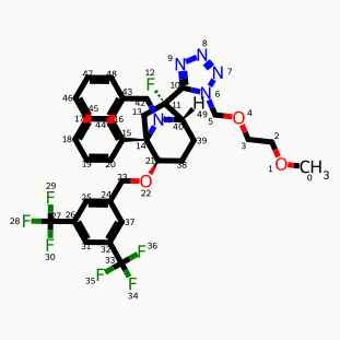 COCCOCn1nnnc1[C@]1(F)C[C@@]2(c3ccccc3)[C@H](OCc3cc(C(F)(F)F)cc(C(F)(F)F)c3)CC[C@@H]1N2Cc1ccccc1